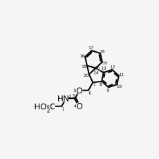 O=C(O)CNC(=O)OCC1c2ccccc2[C@]23C=CC=CC2C13